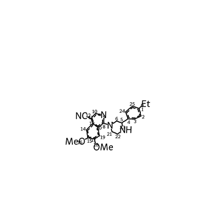 CCc1ccc(C2CN(c3ncc(C#N)c4cc(OC)c(OC)cc34)CCN2)cc1